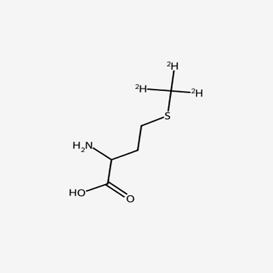 [2H]C([2H])([2H])SCCC(N)C(=O)O